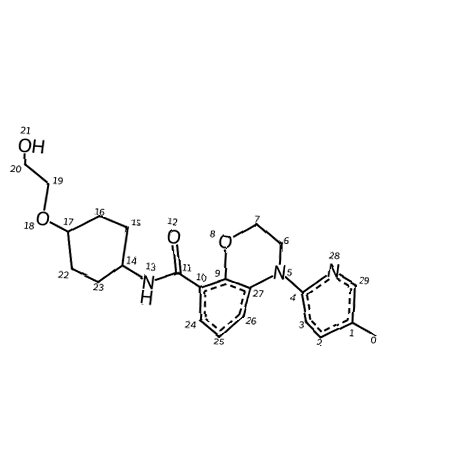 Cc1ccc(N2CCOc3c(C(=O)NC4CCC(OCCO)CC4)cccc32)nc1